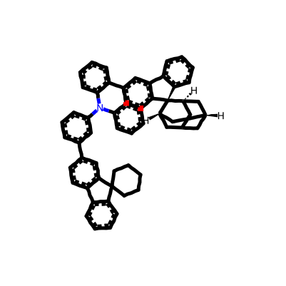 c1ccc(N(c2cccc(-c3ccc4c(c3)C3(CCCCC3)c3ccccc3-4)c2)c2ccccc2-c2ccc3c(c2)-c2ccccc2[C@]32[C@@H]3CC4C[C@@H](C3)C[C@@H]2C4)cc1